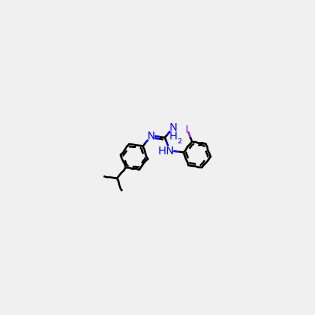 CC(C)c1ccc(N=C(N)Nc2ccccc2I)cc1